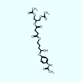 CC(=O)Nc1ccc(OC(O)CCCOC(=O)CCC(=O)OC(COC(C)=O)COC(C)=O)cc1